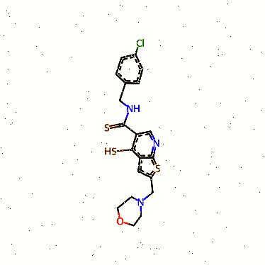 S=C(NCc1ccc(Cl)cc1)c1cnc2sc(CN3CCOCC3)cc2c1S